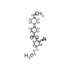 CCCCc1ccc(OC(=O)c2ccc(C3CCC(CC)CC3)cc2)c(C#N)c1